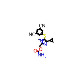 Cn1c(COC(N)=O)nc(C2CC2)c1Sc1cc(C#N)cc(C#N)c1